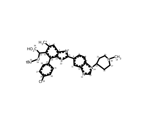 Cc1cc2nc(-c3ccc4c(c3)ncn4C3CCN(C)CC3)sc2c(-c2ccc(Cl)cc2)c1C(OC(C)(C)C)C(=O)O